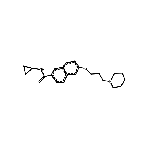 O=C(NC1CC1)c1ccc2cc(OCCCN3CCCCC3)ccc2c1